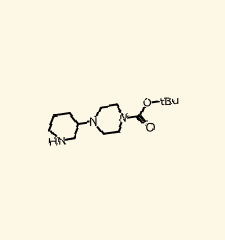 CC(C)(C)OC(=O)N1CCN(C2CCCNC2)CC1